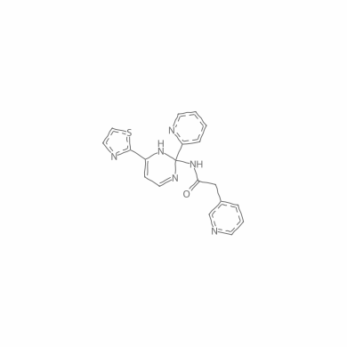 O=C(Cc1cccnc1)NC1(c2ccccn2)N=CC=C(c2nccs2)N1